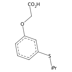 CC(C)Sc1cccc(OCC(=O)O)c1